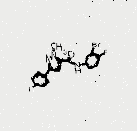 Cn1nc(-c2ccc(F)cc2)cc1C(=O)Nc1ccc(F)c(Br)c1